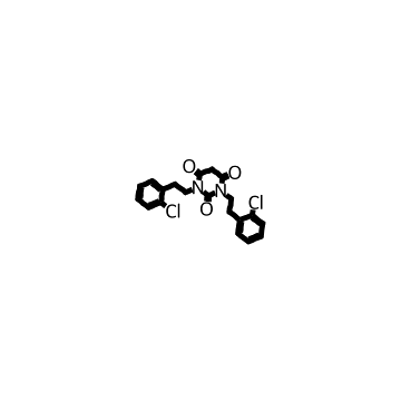 O=C1CC(=O)N(CCc2ccccc2Cl)C(=O)N1CCc1ccccc1Cl